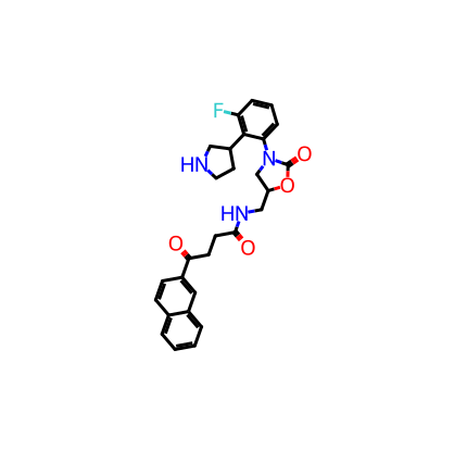 O=C(CCC(=O)c1ccc2ccccc2c1)NCC1CN(c2cccc(F)c2C2CCNC2)C(=O)O1